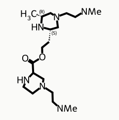 CNCCN1CCNC(C(=O)OCC[C@H]2CN(CCNC)C[C@@H](C)N2)C1